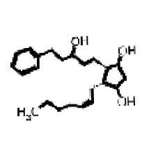 CCCC/C=C\C[C@H]1C(O)CC(O)[C@@H]1CCC(O)CCc1ccccc1